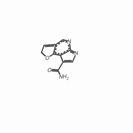 NC(=O)C1=CN=c2ncc3c(c21)OCC=3